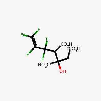 O=C(O)CC(O)(C(=O)O)C(C(=O)O)C(F)(F)C(F)=C(F)F